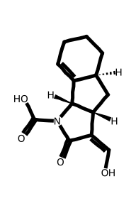 O=C(O)N1C(=O)C(=CO)[C@H]2C[C@@H]3CCCC=C3[C@H]21